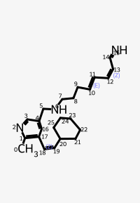 Cc1ncc(CNCCC/C=C/C=C\C=N)cc1/C=C\C1CCCCC1